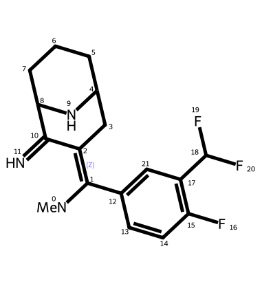 CN/C(=C1/CC2CCCC(N2)C1=N)c1ccc(F)c(C(F)F)c1